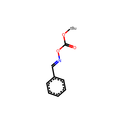 CC(C)(C)OC(=O)O/N=C/c1ccccc1